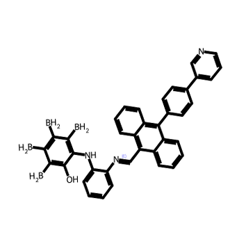 Bc1c(B)c(B)c(Nc2ccccc2/N=C/c2c3ccccc3c(-c3ccc(-c4cccnc4)cc3)c3ccccc23)c(O)c1B